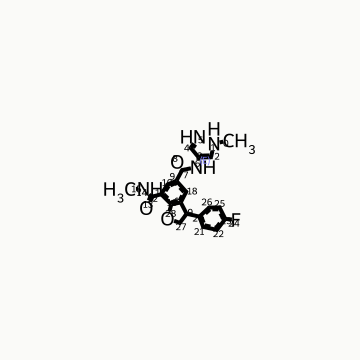 CN/C=C(\C=N)NC(=O)c1cc(C(=O)NC)c2c(c1)C(c1ccc(F)cc1)CO2